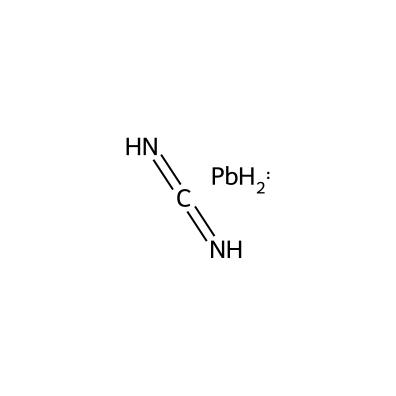 N=C=N.[PbH2]